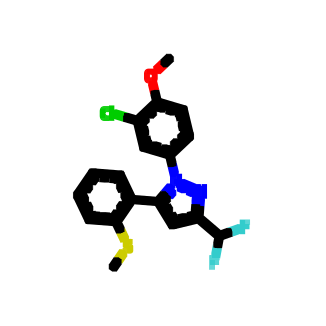 COc1ccc(-n2nc(C(F)F)cc2-c2ccccc2SC)cc1Cl